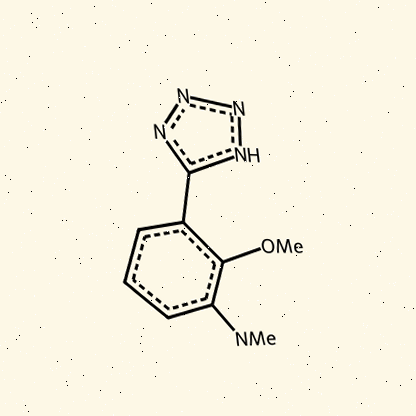 CNc1cccc(-c2nnn[nH]2)c1OC